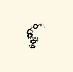 N[C@H]1CC[C@@H](Sc2ccc3cnc(Nc4ccc(-n5cccn5)cc4F)cc3n2)CC1